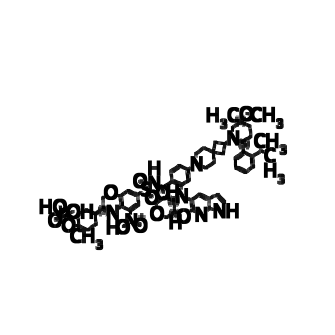 CO[C@@]1(C)CC[C@@H](c2ccccc2C(C)C)N(C2CC3(CCN(c4ccc(C(=O)NS(=O)(=O)c5cc6c(c([N+](=O)[O-])c5)N[C@@H](C5CCC(C)(OP(=O)(O)O)CC5)CO6)c(N5c6cc7cc[nH]c7nc6O[C@H]6COCC[C@@H]65)c4)CC3)C2)C1